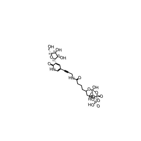 NCC(CCCC(=O)NCC#Cc1c[nH]c(=O)c([C@@H]2O[C@H](CO)[C@@H](O)[C@H]2O)c1)OP(=O)(O)OP(=O)(O)OP(=O)(O)O